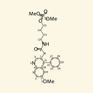 COc1ccc2ncc(CC(=O)NCCCCOP(=O)(OC)OC)c(-c3ccccc3)c2c1